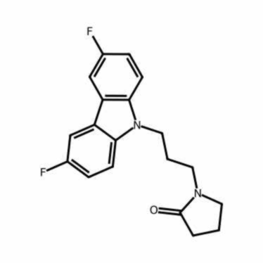 O=C1CCCN1CCCn1c2ccc(F)cc2c2cc(F)ccc21